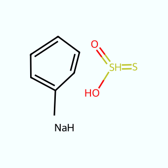 Cc1ccccc1.O=[SH](O)=S.[NaH]